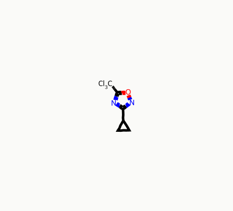 ClC(Cl)(Cl)c1nc(C2CC2)no1